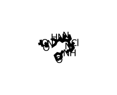 CC(C)(C)OC(=O)N1CCC(c2cc3c(-c4nc(NCC5CCCOC5)ccc4Cl)ccnc3[nH]2)CC1